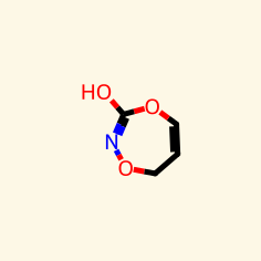 OC1=NOCC=CO1